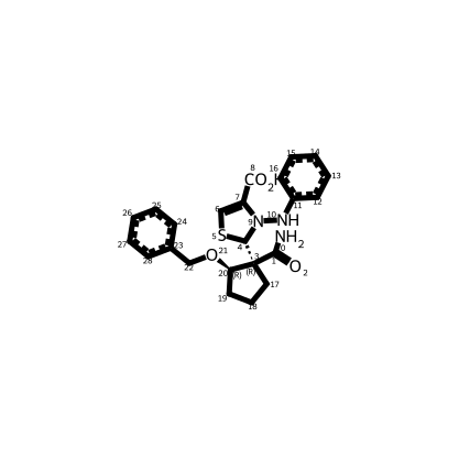 NC(=O)[C@@]1(C2SC=C(C(=O)O)N2Nc2ccccc2)CCC[C@H]1OCc1ccccc1